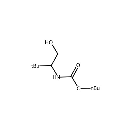 CCCCOC(=O)NC(CO)C(C)(C)C